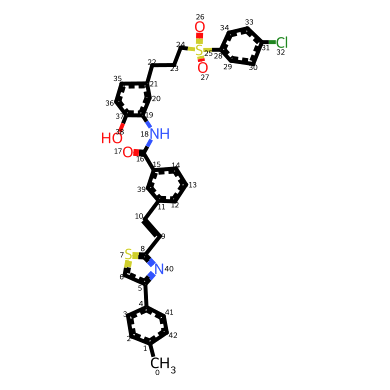 Cc1ccc(-c2csc(/C=C/c3cccc(C(=O)Nc4cc(CCCS(=O)(=O)c5ccc(Cl)cc5)ccc4O)c3)n2)cc1